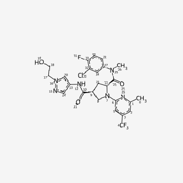 Cc1cc(C(F)(F)F)cc(N2C[C@@H](C(=O)Nc3cnn(CCO)c3)C[C@H]2C(=O)N(C)c2ccc(F)c(Cl)c2)n1